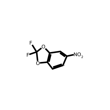 O=[N+]([O-])c1[c]cc2c(c1)OC(F)(F)O2